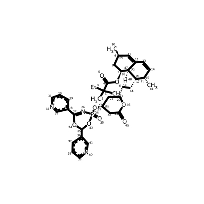 CCC(C)(C)C(=O)O[C@H]1C[C@@H](C)C=C2C=C[C@H](C)[C@H](CC[C@H]3C[C@@H](OP4(=O)N=C(c5cccnc5)OC(c5cccnc5)O4)CC(=O)O3)[C@H]21